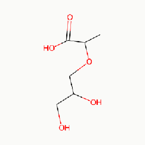 CC(OCC(O)CO)C(=O)O